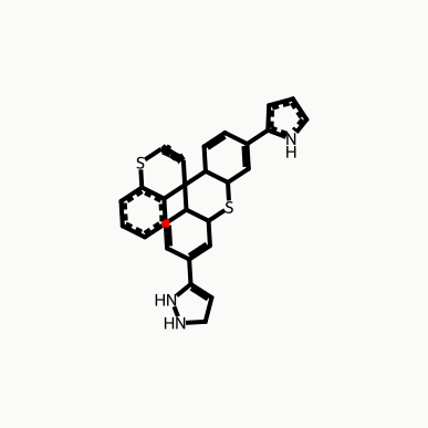 C1=CC2C(C=C1C1=CCNN1)SC1C=C(c3ccc[nH]3)C=CC1C21c2ccccc2Sc2ccccc21